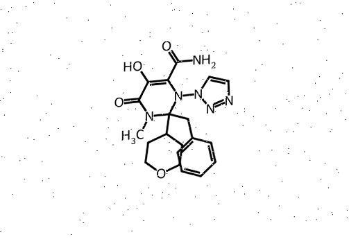 CN1C(=O)C(O)=C(C(N)=O)N(n2ccnn2)C1(Cc1ccccc1)C1CCOCC1